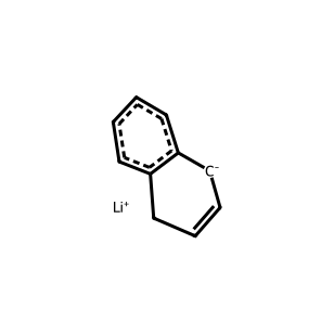 C1=CCc2ccccc2[CH-]1.[Li+]